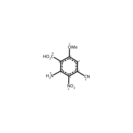 COc1cc(C#N)c([N+](=O)[O-])c(N)c1C(=O)O